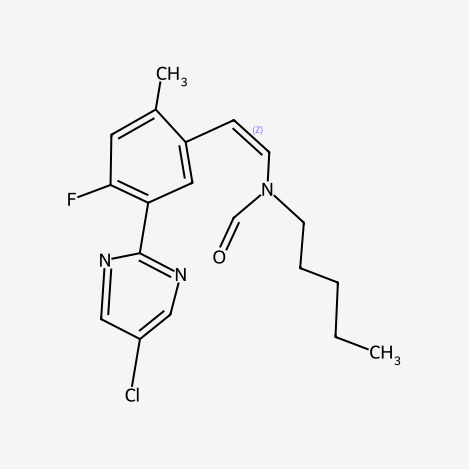 CCCCCN(C=O)/C=C\c1cc(-c2ncc(Cl)cn2)c(F)cc1C